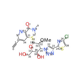 C#Cc1cnc(C(=O)N(C)C)c(S[C@H]2OC(CO)[C@H](O)C(n3cc(-c4nc(Cl)cs4)nn3)[C@@H]2OC)c1